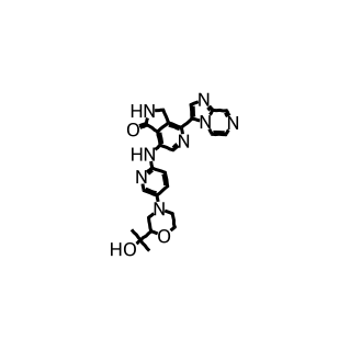 CC(C)(O)C1CN(c2ccc(Nc3cnc(-c4cnc5cnccn45)c4c3C(=O)NC4)nc2)CCO1